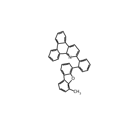 Cc1cccc2c1oc1c(-c3ccccc3-c3ccc4c5ccccc5c5ccccc5c4n3)cccc12